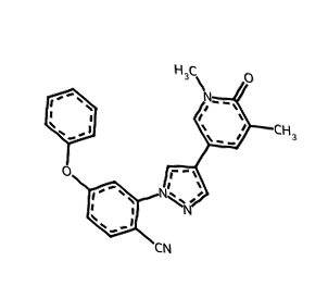 Cc1cc(-c2cnn(-c3cc(Oc4ccccc4)ccc3C#N)c2)cn(C)c1=O